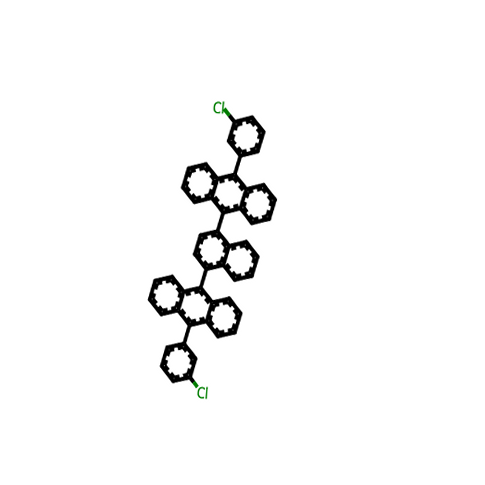 Clc1cccc(-c2c3ccccc3c(-c3ccc(-c4c5ccccc5c(-c5cccc(Cl)c5)c5ccccc45)c4ccccc34)c3ccccc23)c1